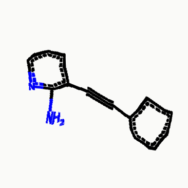 Nc1ncccc1C#Cc1ccccc1